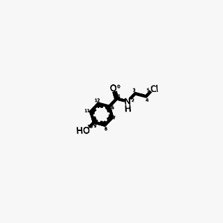 O=C(NCCCl)c1ccc(O)cc1